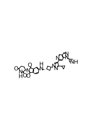 O=C1CCC(N2C(=O)c3ccc(NC[C@H]4C[C@H](n5cc(-c6cc7c(cn6)cnn7C6CNC6)c(C6CC6)n5)C4)cc3C2=O)C(=O)N1